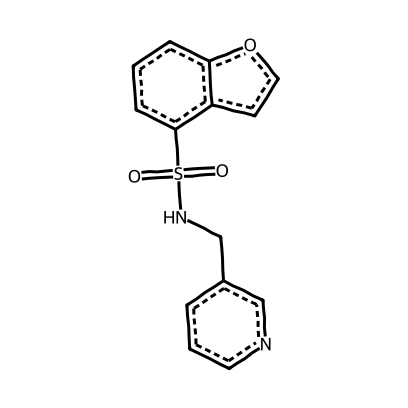 O=S(=O)(NCc1cccnc1)c1cccc2occc12